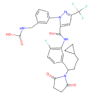 O=C(O)NCc1cccc(-n2nc(C(F)(F)F)cc2C(=O)Nc2cc(C(CCC3CC3)N3C(=O)CCC3=O)ccc2F)c1